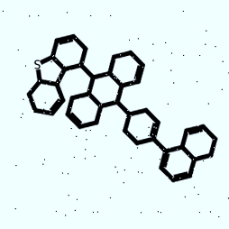 C1=CC2CCC=CC2C(C2=CCC(C3C4C=CCCC4C(C4CC=CC5SC6CCC=CC6C54)C4CC=CCC43)CC2)=C1